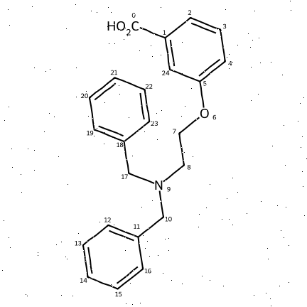 O=C(O)c1cccc(OCCN(Cc2ccccc2)Cc2ccccc2)c1